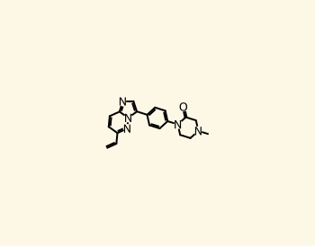 C=Cc1ccc2ncc(-c3ccc(N4CCN(C)CC4=O)cc3)n2n1